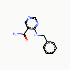 NC(=O)c1cncnc1NCc1ccccc1